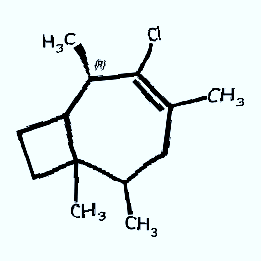 CC1=C(Cl)[C@H](C)C2CCC2(C)C(C)C1